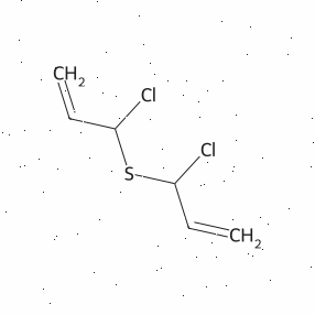 C=CC(Cl)SC(Cl)C=C